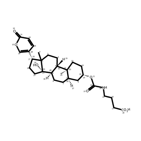 CC12CC[C@H]3[C@@H](CC[C@@H]4C[C@@H](OC(=O)NCCCC(=O)O)CC[C@@]43C)[C@@]1(O)CC[C@@H]2c1ccc(=O)oc1